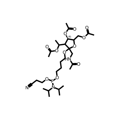 CC(=O)NCC1(OCCCCOP(OCCC#N)N(C(C)C)C(C)C)OC(COC(C)=O)[C@H](OC(C)=O)C1C(C)OC(C)=O